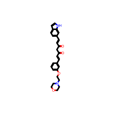 O=C(C=Cc1cccc(OCCN2CCOCC2)c1)CC(=O)C=Cc1ccc2cc[nH]c2c1